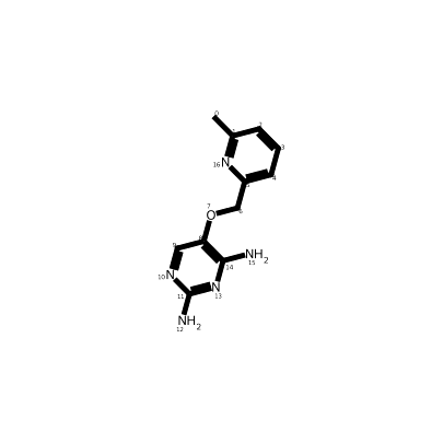 Cc1cccc(COc2cnc(N)nc2N)n1